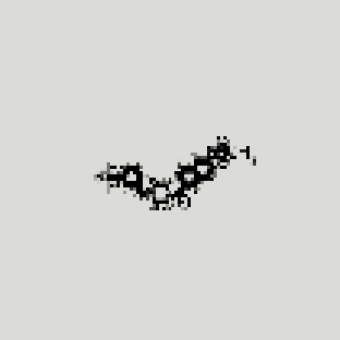 CS(=O)(=O)Oc1ccc2cc(C(=O)N3CCN(Cc4cccc(C(F)(F)F)c4)CC3)ccc2c1